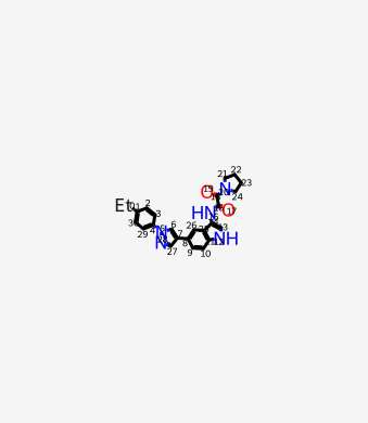 CCc1ccc(-n2cc(-c3ccc4[nH]cc(NC(=O)C(=O)N5CCCC5)c4c3)cn2)cc1